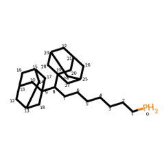 PCCCCCCCC(C12CC3CC(CC(C3)C1)C2)C12CC3CC(CC(C3)C1)C2